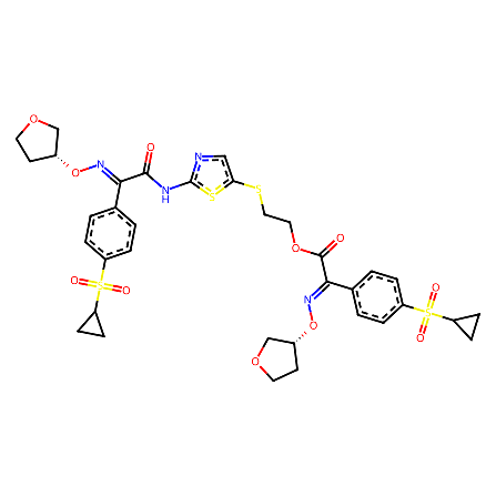 O=C(Nc1ncc(SCCOC(=O)/C(=N/O[C@@H]2CCOC2)c2ccc(S(=O)(=O)C3CC3)cc2)s1)/C(=N/O[C@@H]1CCOC1)c1ccc(S(=O)(=O)C2CC2)cc1